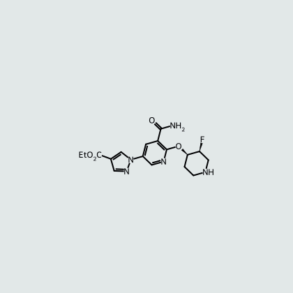 CCOC(=O)c1cnn(-c2cnc(O[C@@H]3CCNC[C@@H]3F)c(C(N)=O)c2)c1